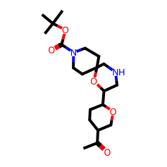 CC(=O)C1CCC(C2CNCC3(CCN(C(=O)OC(C)(C)C)CC3)O2)OC1